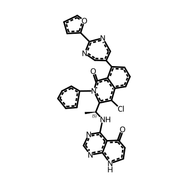 C[C@H](Nc1ncnc2[nH]ccc(=O)c12)c1c(Cl)c2cccc(-c3cnc(-c4ccco4)nc3)c2c(=O)n1-c1ccccc1